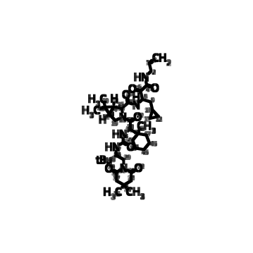 C=CCNC(=O)C(=O)C(CC1CC1)NC(=O)[C@@H]1[C@@H]2[C@H](CN1C(=O)[C@@H](NC(=O)N[C@H](CN1C(=O)CC(C)(C)CC1=O)C(C)(C)C)C1(C)CCCCC1)C2(C)C